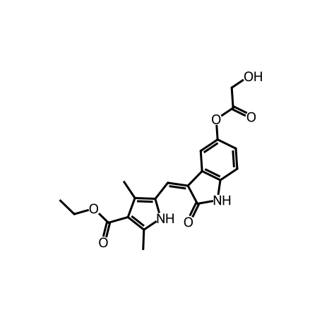 CCOC(=O)c1c(C)[nH]c(C=C2C(=O)Nc3ccc(OC(=O)CO)cc32)c1C